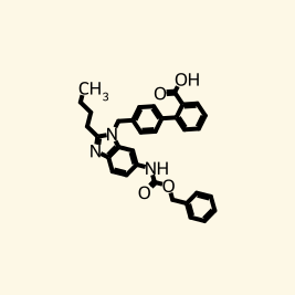 CCCCc1nc2ccc(NC(=O)OCc3ccccc3)cc2n1Cc1ccc(-c2ccccc2C(=O)O)cc1